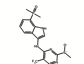 C[S+]([O-])c1ncc(C(F)(F)F)c(Nc2c[nH]c3c(P(C)(C)=O)cccc23)n1